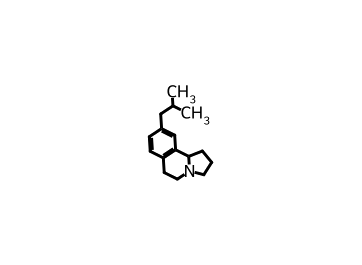 CC(C)Cc1ccc2c(c1)C1CCCN1CC2